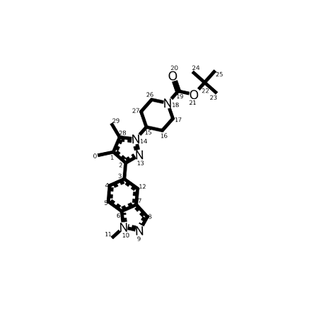 Cc1c(-c2ccc3c(cnn3C)c2)nn(C2CCN(C(=O)OC(C)(C)C)CC2)c1C